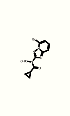 O=CN(C(=O)C1CC1)c1nc2cccc(Br)n2n1